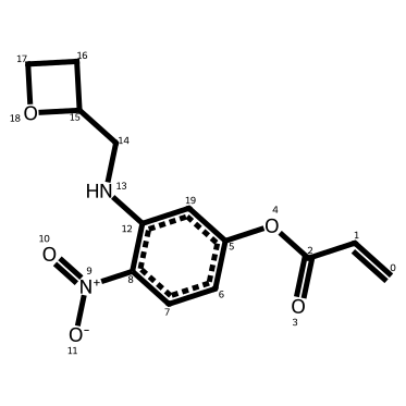 C=CC(=O)Oc1ccc([N+](=O)[O-])c(NCC2CCO2)c1